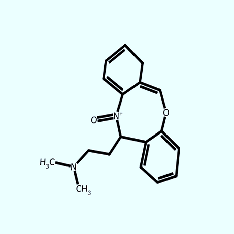 CN(C)CCC1c2ccccc2O/C=C2/CC=CC=C2[N+]1=O